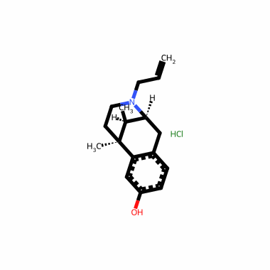 C=CCN1CC[C@]2(C)c3cc(O)ccc3C[C@H]1[C@@H]2C.Cl